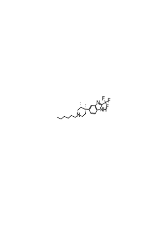 CCCCCCN1CC[C@](C)(c2ccc3[nH]c(C(F)(F)F)nc3c2)[C@@H](C)C1